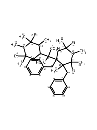 CCC1(C)CC(C(C(=O)O)(C(=O)O)C2(Cc3ccccc3)CC(C)(CC)N(C)C(C)(CC)C2(C)Cc2ccccc2)C(C)C(C)(CC)N1C